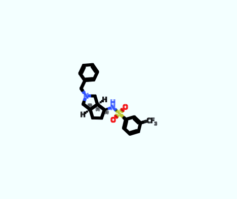 O=S(=O)(N[C@H]1CC[C@H]2CN(Cc3ccccc3)C[C@H]21)c1cccc(C(F)(F)F)c1